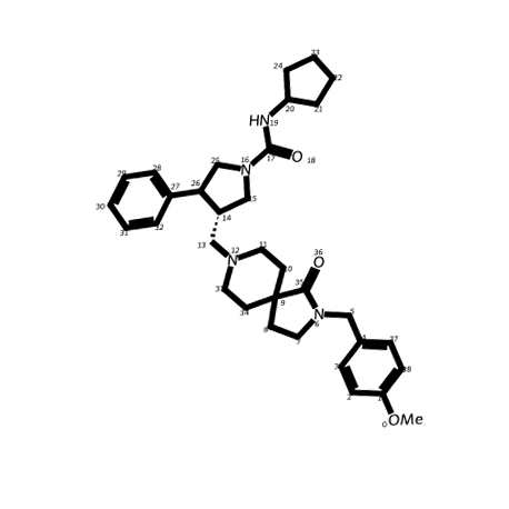 COc1ccc(CN2CCC3(CCN(C[C@H]4CN(C(=O)NC5CCCC5)CC4c4ccccc4)CC3)C2=O)cc1